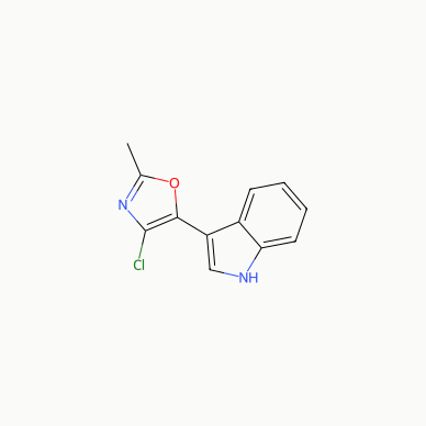 Cc1nc(Cl)c(-c2c[nH]c3ccccc23)o1